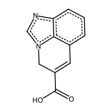 O=C(O)C1=Cc2cccc3ncn(c23)C1